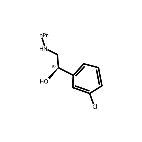 CC[CH]NC[C@H](O)c1cccc(Cl)c1